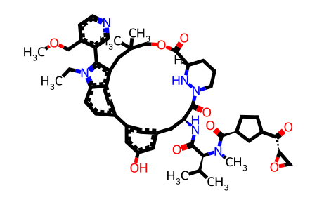 CCn1c(-c2cnccc2COC)c2c3cc(ccc31)-c1cc(O)cc(c1)C[C@H](NC(=O)[C@H](C(C)C)N(C)C(=O)[C@H]1CCC(C(=O)[C@@H]3CO3)C1)C(=O)N1CCC[C@H](N1)C(=O)OCC(C)(C)C2